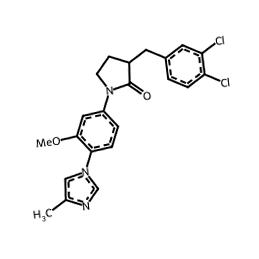 COc1cc(N2CCC(Cc3ccc(Cl)c(Cl)c3)C2=O)ccc1-n1cnc(C)c1